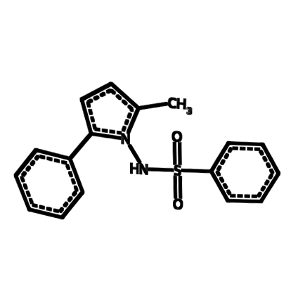 Cc1ccc(-c2ccccc2)n1NS(=O)(=O)c1ccccc1